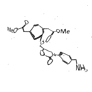 COC(=O)Cc1ccc(CC(=O)OC)c(OCC2CN(c3ccc(CN)cc3)C(=O)O2)c1